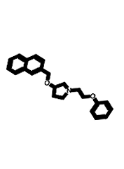 c1ccc(OCCN2CCC(OCc3ccc4ccccc4c3)C2)cc1